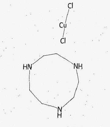 C1CNCCNCCN1.[Cl][Cu][Cl]